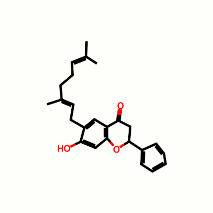 CC(C)=CCC/C(C)=C/Cc1cc2c(cc1O)OC(c1ccccc1)CC2=O